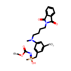 CN(CCCCN1C(=O)c2ccccc2C1=O)c1cc(C[SH](C)(O)=NC(=O)OC(C)(C)C)cc([N+](=O)[O-])c1